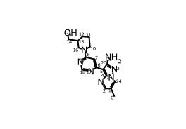 Cc1cnc2c(-c3cc(N4CCCC(CO)C4)ncn3)c(N)nn2c1